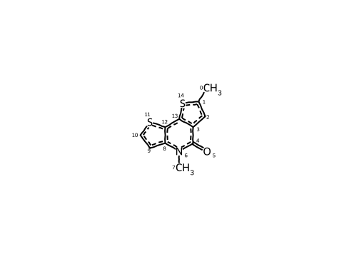 Cc1cc2c(=O)n(C)c3ccsc3c2s1